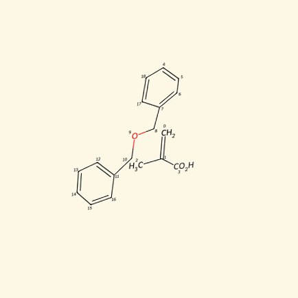 C=C(C)C(=O)O.c1ccc(COCc2ccccc2)cc1